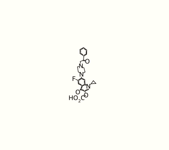 O=C(O)Oc1cn(C2CC2)c2cc(N3CCN(CC(=O)c4ccccc4)CC3)c(F)cc2c1=O